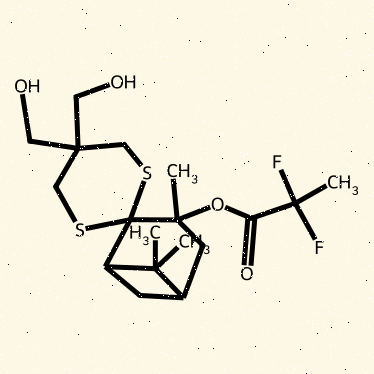 CC(F)(F)C(=O)OC1(C)CC2CC(C2(C)C)C12SCC(CO)(CO)CS2